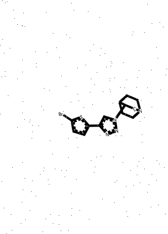 Brc1ccc(-c2cn(C3CN4CCC3CC4)nn2)s1